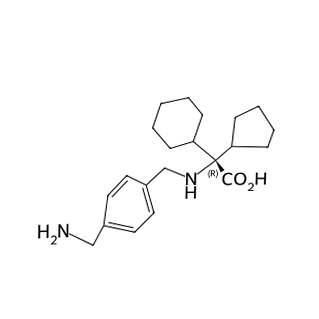 NCc1ccc(CN[C@](C(=O)O)(C2CCCCC2)C2CCCC2)cc1